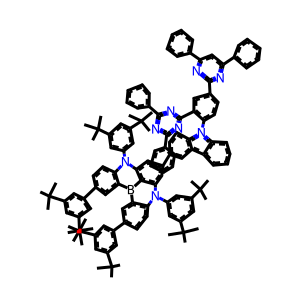 CC(C)(C)c1cc(-c2ccc3c(c2)B2c4cc(-c5cc(C(C)(C)C)cc(C(C)(C)C)c5)ccc4N(c4cc(C(C)(C)C)cc(C(C)(C)C)c4)c4cc(-c5ccc6c(c5)c5ccccc5n6-c5ccc(-c6nc(-c7ccccc7)cc(-c7ccccc7)n6)cc5-c5nc(-c6ccccc6)nc(-c6ccccc6)n5)cc(c42)N3c2cc(C(C)(C)C)cc(C(C)(C)C)c2)cc(C(C)(C)C)c1